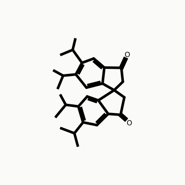 CC(C)c1cc2c(cc1C(C)C)C1(CC2=O)CC(=O)c2cc(C(C)C)c(C(C)C)cc21